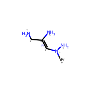 CC(C)N(N)/C=C(\N)CN